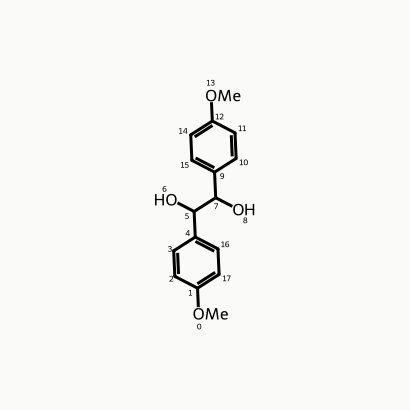 COc1ccc(C(O)C(O)c2ccc(OC)cc2)cc1